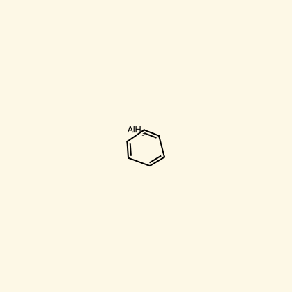 [AlH3].c1ccccc1